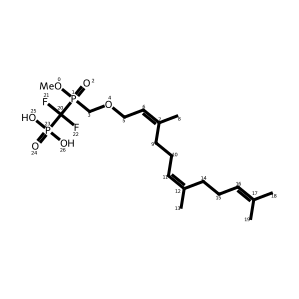 COP(=O)(COCC=C(C)CCC=C(C)CCC=C(C)C)C(F)(F)P(=O)(O)O